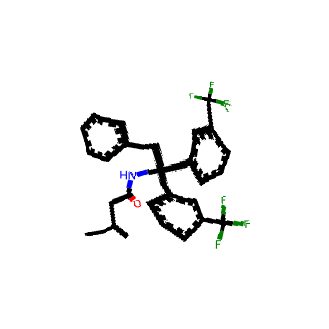 CC(C)CC(=O)NC(Cc1ccccc1)(c1cccc(C(F)(F)F)c1)c1cccc(C(F)(F)F)c1